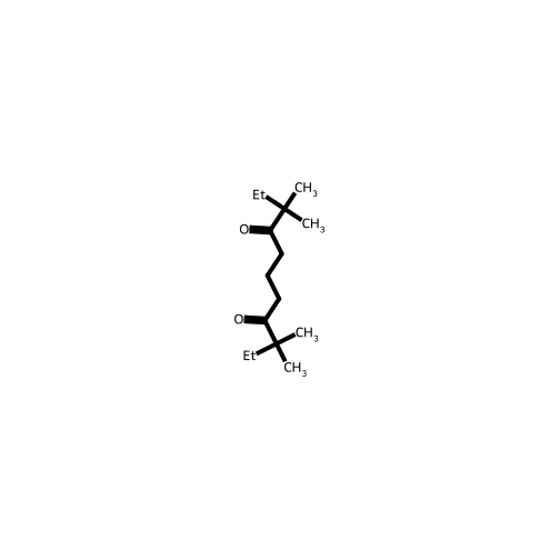 CCC(C)(C)C(=O)CCCC(=O)C(C)(C)CC